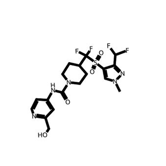 Cn1cc(S(=O)(=O)C(F)(F)C2CCN(C(=O)Nc3ccnc(CO)c3)CC2)c(C(F)F)n1